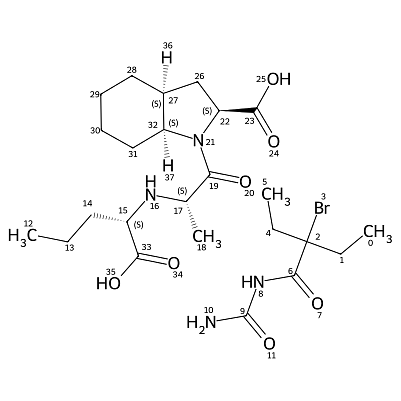 CCC(Br)(CC)C(=O)NC(N)=O.CCC[C@H](N[C@@H](C)C(=O)N1[C@H](C(=O)O)C[C@@H]2CCCC[C@@H]21)C(=O)O